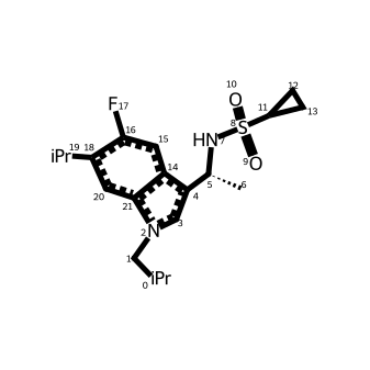 CC(C)Cn1cc([C@@H](C)NS(=O)(=O)C2CC2)c2cc(F)c(C(C)C)cc21